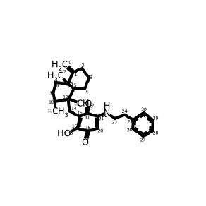 C=C1CCCC2C1(C)CCC(C)C2(C)CC1=C(O)C(=O)C=C(NCCc2ccccc2)C1=O